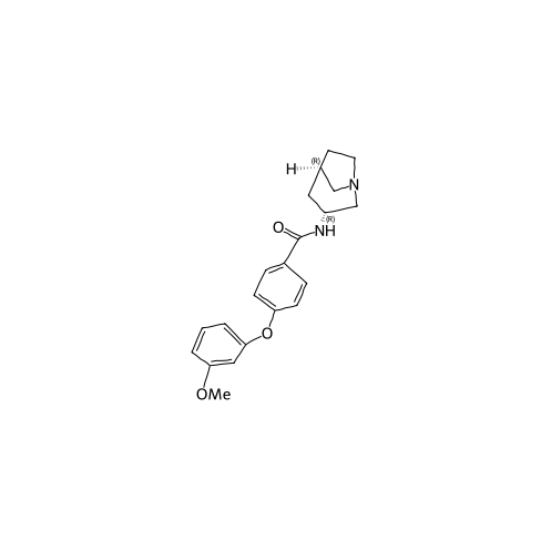 COc1cccc(Oc2ccc(C(=O)N[C@@H]3C[C@H]4CCN(C4)C3)cc2)c1